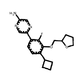 Nc1cnc(-c2ccc(C3CCC3)c(OCC3CCCO3)c2F)cn1